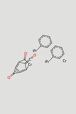 CC(C)c1ccccc1.CC(C)c1ccccc1.O=C=C1[C]2=c3c(=O)c3=C1[C](=O)[Cr]2.[Cr]